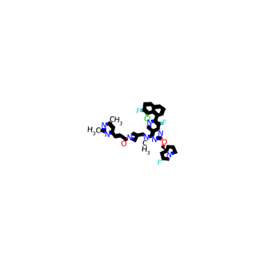 Cc1cc(/C=C/C(=O)N2CC(CN(C)c3nc(OC[C@@]45CCCN4C[C@H](F)C5)nc4c(F)c(-c5cccc6ccc(F)c(Cl)c56)ncc34)C2)nc(C)n1